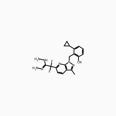 Cc1nn(Cc2c(C#N)cccc2C2CC2)c2nc(C(F)(F)/C(=N/N)NN)ccc12